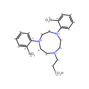 O=C(O)CCN1CCN(c2ccccc2[N+](=O)[O-])CCN(c2ccccc2[N+](=O)[O-])CC1